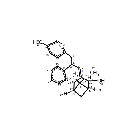 Cc1ccc(C[C@@H](/N=C2\C[C@@H]3C[C@@H](C3(C)C)[C@]2(C)O)c2ccccn2)cc1